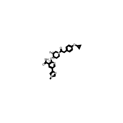 Cn1cnc(-c2cnc(O[C@@H]3CCN(C(=O)Cc4ccc(OC5CC5)cc4)C[C@@H]3F)c(C(N)=O)c2)c1